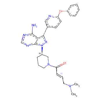 CN(C)C/C=C/C(=O)N1CCC[C@@H](n2nc(-c3ccc(Oc4ccccc4)nc3)c3c(N)ncnc32)C1